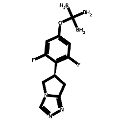 BC(B)(B)Oc1cc(F)c([C@H]2Cc3nncn3C2)c(F)c1